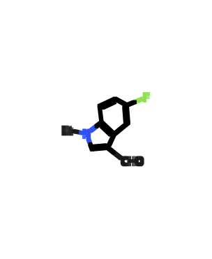 CCn1cc(C=O)c2cc(F)ccc21